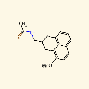 COc1ccc2cccc3c2c1CC(CNC(C)=S)C3